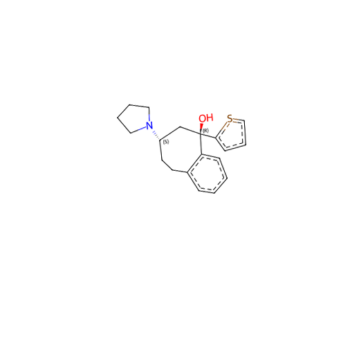 O[C@]1(c2cccs2)C[C@@H](N2CCCC2)CCc2ccccc21